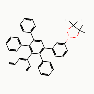 C=C/C=C(\C=C)c1c(-c2ccccc2)c(-c2ccccc2)cc(-c2cccc(B3OC(C)(C)C(C)(C)O3)c2)c1-c1ccccc1